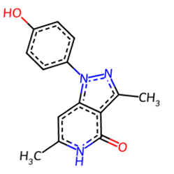 Cc1cc2c(c(C)nn2-c2ccc(O)cc2)c(=O)[nH]1